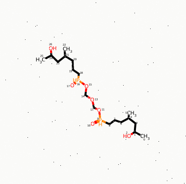 CC(O)CC(C)CCC[PH](=O)OCOCO[PH](=O)CCCC(C)CC(C)O